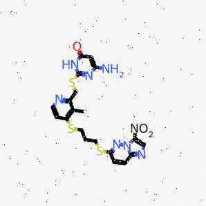 Cc1c(SCCCSc2ccc3ncc([N+](=O)[O-])n3n2)ccnc1CSc1nc(N)cc(=O)[nH]1